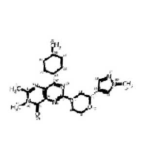 Cc1nc2c(nc(N3CCO[C@@H](c4cnn(C)c4)C3)nc2[C@H]2CC[C@H](C)CC2)c(=O)n1C